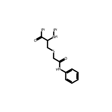 CC(C)NC(CSCC(=O)Nc1ccccc1)C(=O)C(C)C